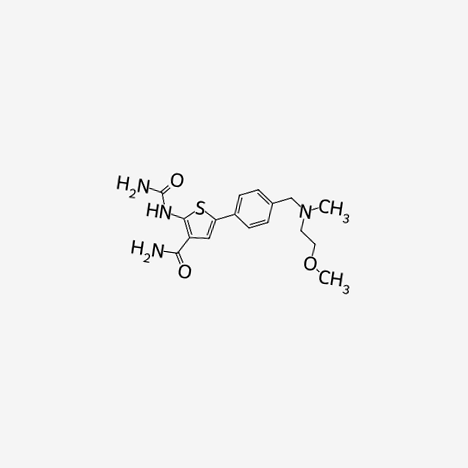 COCCN(C)Cc1ccc(-c2cc(C(N)=O)c(NC(N)=O)s2)cc1